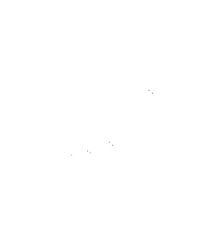 CCCCn1ccnc1C(OCCCN(C)C)c1ccc(C(F)(F)F)cc1